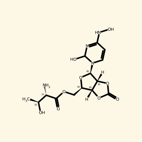 C[C@H](O)[C@H](N)C(=O)OC[C@H]1O[C@@H](N2C=CC(NO)=NC2O)[C@@H]2OC(=O)O[C@@H]21